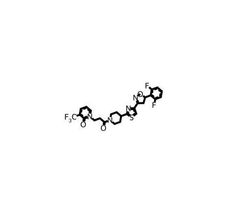 O=C(CCn1cccc(C(F)(F)F)c1=O)N1CCC(c2nc(C3=NOC(c4c(F)cccc4F)C3)cs2)CC1